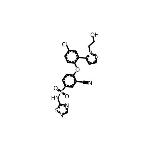 N#Cc1cc(S(=O)(=O)Nc2ncns2)ccc1Oc1ccc(Cl)cc1-c1ccnn1CCO